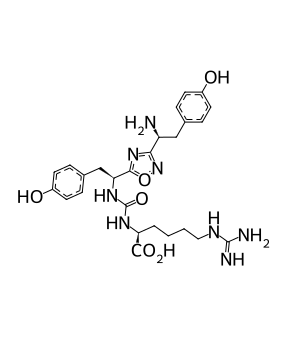 N=C(N)NCCCC[C@H](NC(=O)N[C@@H](Cc1ccc(O)cc1)c1nc([C@@H](N)Cc2ccc(O)cc2)no1)C(=O)O